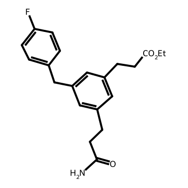 CCOC(=O)CCc1cc(CCC(N)=O)cc(Cc2ccc(F)cc2)c1